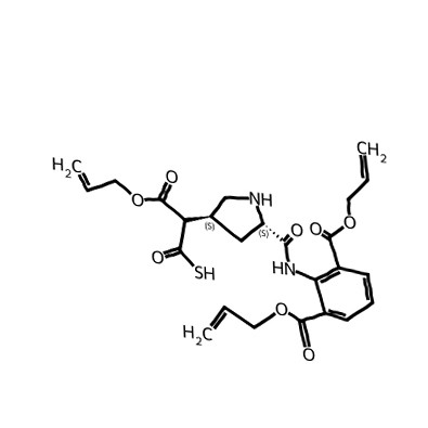 C=CCOC(=O)c1cccc(C(=O)OCC=C)c1NC(=O)[C@@H]1C[C@@H](C(C(=O)S)C(=O)OCC=C)CN1